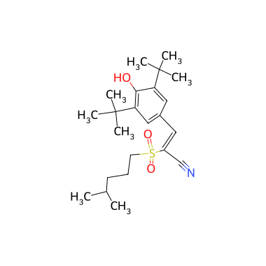 CC(C)CCCS(=O)(=O)C(C#N)=Cc1cc(C(C)(C)C)c(O)c(C(C)(C)C)c1